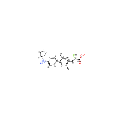 Cc1cc(-c2ccc(NC3CCCC3)cc2)c(C)cc1/C=C(\F)C(=O)O